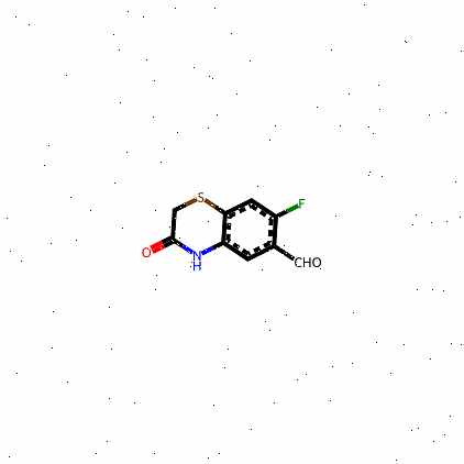 O=Cc1cc2c(cc1F)SCC(=O)N2